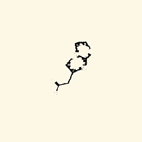 NC(=O)Cc1cn2ccsc2n1